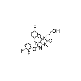 Cn1c(=O)n(CCCO)c(=O)c2c1nc(Oc1cccc(F)c1F)n2Cc1ccc(F)cc1